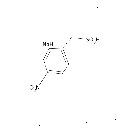 O=[N+]([O-])c1ccc(CS(=O)(=O)O)cc1.[NaH]